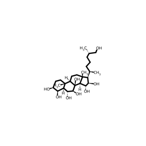 C[C@H](CO)CCC[C@@H](C)[C@H]1[C@@H](O)[C@H](O)[C@@H]2[C@]1(C)CC[C@@H]1[C@@]3(C)CC[C@H](O)[C@H](O)[C@@H]3[C@@H](O)[C@H](O)[C@]12O